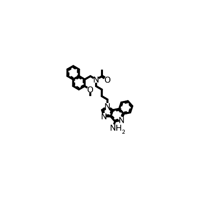 COc1ccc2ccccc2c1CN(CCCCn1cnc2c(N)nc3ccccc3c21)C(C)=O